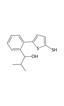 CC(C)C(O)c1ccccc1-c1ccc(S)s1